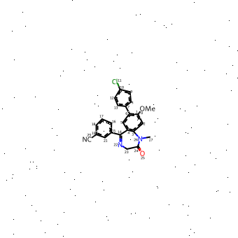 COc1cc2c(cc1-c1ccc(Cl)cc1)C(c1cccc(C#N)c1)=NCC(=O)N2C